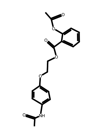 CC(=O)Nc1ccc(OCCOC(=O)c2ccccc2OC(C)=O)cc1